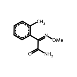 CON=C(C(N)=O)c1ccccc1C